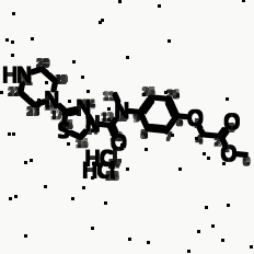 COC(=O)COc1ccc(N(C)C(=O)N2CSC(N3CCNCC3)=N2)cc1.Cl.Cl